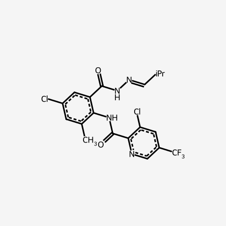 Cc1cc(Cl)cc(C(=O)NN=CC(C)C)c1NC(=O)c1ncc(C(F)(F)F)cc1Cl